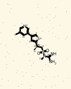 Cc1cncc(-c2csc([C@H](C)CS(=O)(=O)N(C)C(=N)N)c2)c1